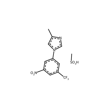 CS(=O)(=O)O.Cc1cn(-c2cc([N+](=O)[O-])cc(C(F)(F)F)c2)cn1